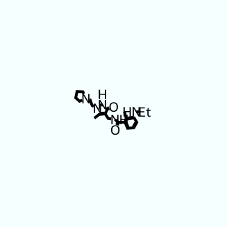 CCNc1cccc(C(=O)NCc2c(C)n(CCN3CCCC3)[nH]c2=O)c1C